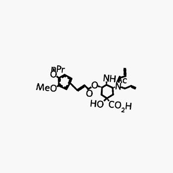 C=CCN(CC=C)[C@@H]1C[C@@](O)(C(=O)O)C[C@@H](OC(=O)/C=C/c2ccc(OCCC)c(OC)c2)[C@H]1NC(C)=O